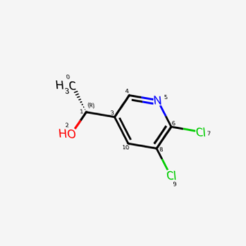 C[C@@H](O)c1cnc(Cl)c(Cl)c1